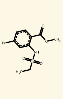 CCS(=O)(=O)Nc1cc(Br)ccc1C(=O)OC